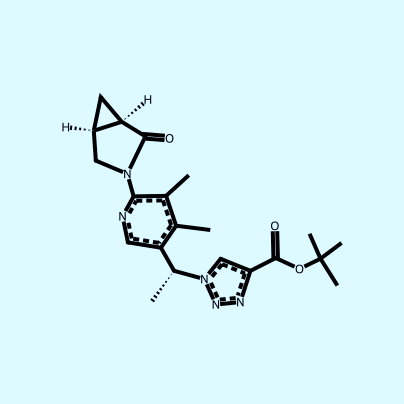 Cc1c([C@@H](C)n2cc(C(=O)OC(C)(C)C)nn2)cnc(N2C[C@H]3C[C@H]3C2=O)c1C